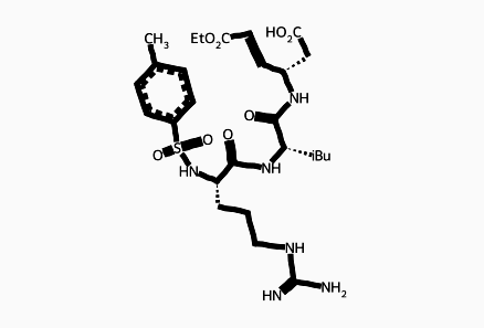 CCOC(=O)/C=C/[C@H](CC(=O)O)NC(=O)[C@@H](NC(=O)[C@H](CCCNC(=N)N)NS(=O)(=O)c1ccc(C)cc1)C(C)CC